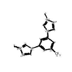 C[n+]1cn(-c2cc(-n3cn[n+](C)c3)cc(C(F)(F)F)c2)cn1